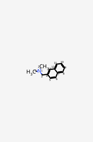 CN(C)Cc1ccc2c[c]ccc2c1